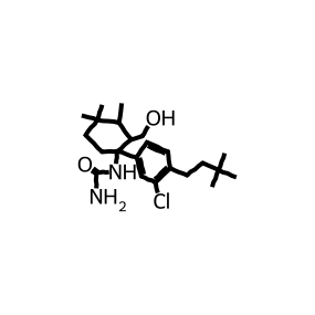 CC1C(CO)C(NC(N)=O)(c2ccc(CCC(C)(C)C)c(Cl)c2)CCC1(C)C